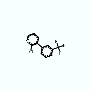 FC(F)(F)c1[c]ccc(-c2cccnc2Cl)c1